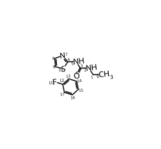 CCNC(=O)Nc1nccs1.Fc1ccccc1